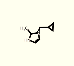 CC1NC=CN1CC1CC1